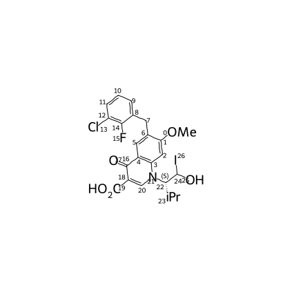 COc1cc2c(cc1Cc1cccc(Cl)c1F)c(=O)c(C(=O)O)cn2[C@@H](C(C)C)C(O)I